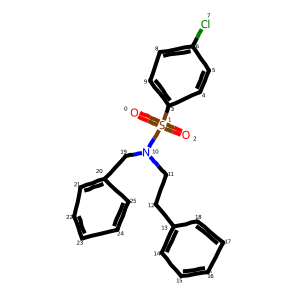 O=S(=O)(c1ccc(Cl)cc1)N(CCc1cc[c]cc1)Cc1ccccc1